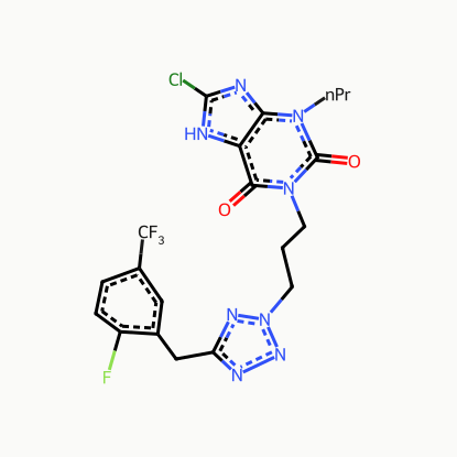 CCCn1c(=O)n(CCCn2nnc(Cc3cc(C(F)(F)F)ccc3F)n2)c(=O)c2[nH]c(Cl)nc21